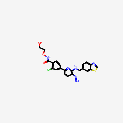 N=Nc1ccc(-c2ccc(C(=O)NOCCO)c(Cl)c2)nc1NCc1ccc2ncsc2c1